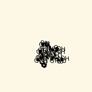 C[C@@H](OP(=O)(O)O)[C@H](NC(=O)CNC(=O)[C@H](CCC(=O)NP(=O)(O)O)NC(=O)[C@H](COP(=O)(O)O)NC(=O)[C@@H](N)Cc1cn(P(=O)(O)O)cn1)C(=O)N[C@@H](Cc1ccccc1)C(=O)O